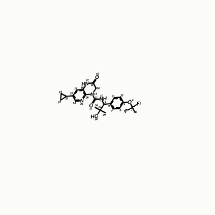 CC(F)(F)Oc1ccc(C(NC(=O)N2CC(=O)Nc3cc(C4CC4)cnc32)C(C)(C)O)cc1